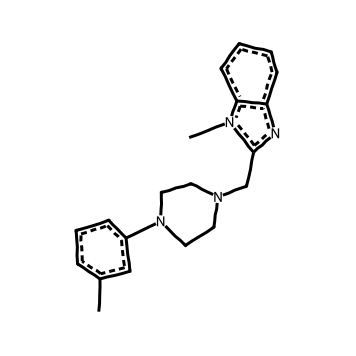 Cc1cccc(N2CCN(Cc3nc4ccccc4n3C)CC2)c1